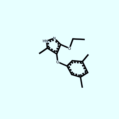 CCOc1n[nH]c(C)c1Oc1cc(C)cc(C)c1